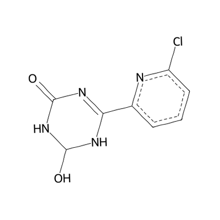 O=C1N=C(c2cccc(Cl)n2)NC(O)N1